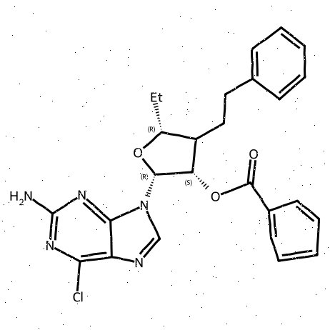 CC[C@H]1O[C@@H](n2cnc3c(Cl)nc(N)nc32)[C@@H](OC(=O)c2ccccc2)C1CCc1ccccc1